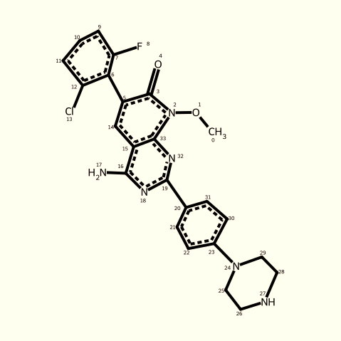 COn1c(=O)c(-c2c(F)cccc2Cl)cc2c(N)nc(-c3ccc(N4CCNCC4)cc3)nc21